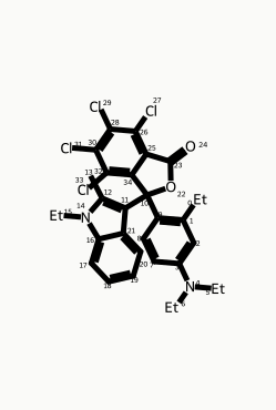 CCc1cc(N(CC)CC)ccc1C1(c2c(C)n(CC)c3ccccc23)OC(=O)c2c(Cl)c(Cl)c(Cl)c(Cl)c21